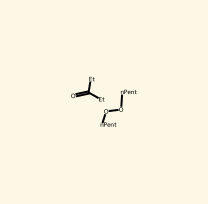 CCC(=O)CC.CCCCCOOCCCCC